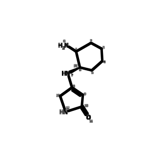 NC1CCCC[C@H]1NC1=CC(=O)NC1